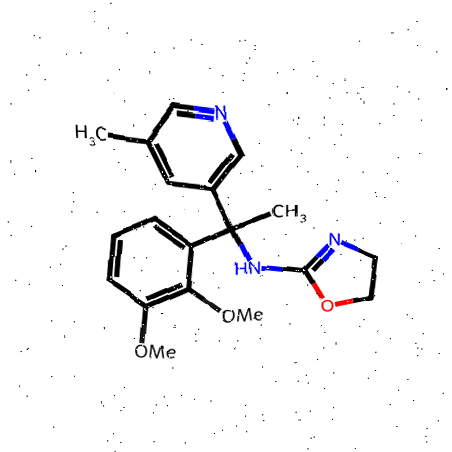 COc1cccc(C(C)(NC2=NCCO2)c2cncc(C)c2)c1OC